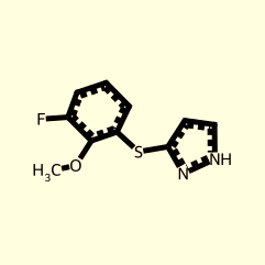 COc1c(F)cccc1Sc1cc[nH]n1